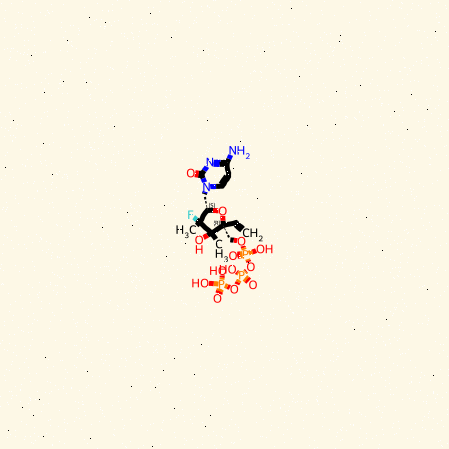 C=C[C@]1(COP(=O)(O)OP(=O)(O)OP(=O)(O)O)O[C@@H](Cn2ccc(N)nc2=O)C(C)(F)C1(C)O